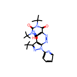 CC(C)(C)c1nn(-c2ccccn2)c(/N=N\c2c(O)n(C(C)(C)C)c(=O)n(C(C)(C)C)c2=O)c1C#N